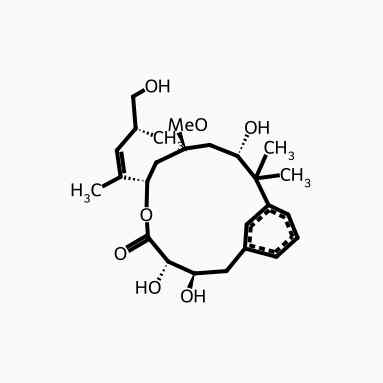 CO[C@@H]1C[C@@H](/C(C)=C\[C@@H](C)CO)OC(=O)[C@@H](O)[C@H](O)Cc2cccc(c2)C(C)(C)[C@@H](O)C1